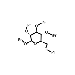 CC(C)OC[C@H]1O[C@@H](OBr)[C@H](OC(C)C)[C@@H](OC(C)C)[C@@H]1OC(C)C